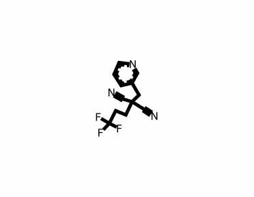 N#CC(C#N)(CCC(F)(F)F)Cc1cccnc1